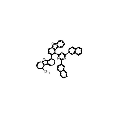 CC1CC=Cc2oc3c(c21)=CCCC=3c1ccc2oc3ccccc3c2c1-c1nc(-c2ccc3ccccc3c2)nc(-c2ccc3ccccc3c2)n1